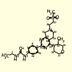 CCNC(=O)Nc1ccc(-c2nc3c(c(N4CCOCC4C)n2)CCN(CCS(C)(=O)=O)C3)cc1